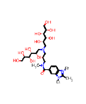 CCn1c(C)[n+](CC)c2ccc(C(=O)N(C)CCCN(C[C@H](O)[C@@H](O)[C@H](O)[C@H](O)CO)C[C@H](O)[C@@H](O)[C@H](O)[C@H](O)CO)cc21